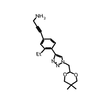 CCc1cc(C#CCN)ccc1-c1cn(CC2OCC(C)(C)CO2)nn1